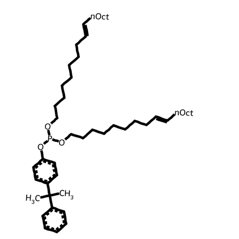 CCCCCCCCC=CCCCCCCCCOP(OCCCCCCCCC=CCCCCCCCC)Oc1ccc(C(C)(C)c2ccccc2)cc1